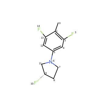 Cc1c(F)cc(N2CC[C@H](F)C2)cc1F